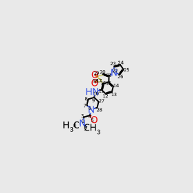 CN(C)CC(=O)N1CCC(Nc2cccc3c2S(=O)(=O)C=C3n2cccc2)CC1